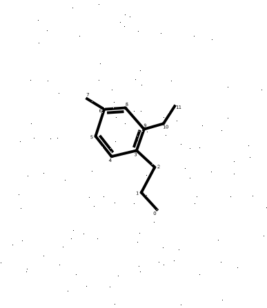 CCCc1ccc(C)cc1CC